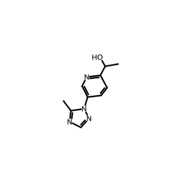 Cc1ncnn1-c1ccc(C(C)O)nc1